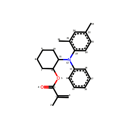 C=C(C)C(=O)OC1CCCCC1N(c1ccccc1)c1ccc(C)cc1C